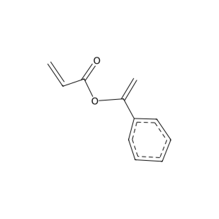 C=CC(=O)OC(=C)c1ccccc1